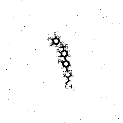 CCCC1COC(c2ccc(-c3ccc(C(F)(F)Oc4cc(F)c(F)c(F)c4)c(F)c3F)c(F)c2)OC1